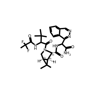 CC(F)(F)C(=O)NC(C(=O)N1C[C@H]2[C@@H]([C@H]1C(=O)NC(C(N)=O)c1nncc3ccccc13)C2(C)C)C(C)(C)C